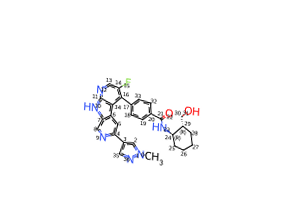 Cn1cc(-c2cc3c(cn2)[nH]c2ncc(F)c(-c4ccc(C(=O)N[C@@H]5CCCC[C@H]5CO)cc4)c23)cn1